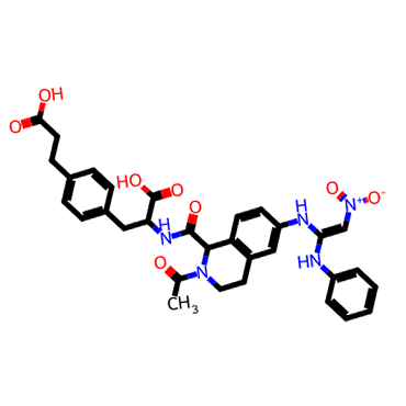 CC(=O)N1CCc2cc(NC(=C[N+](=O)[O-])Nc3ccccc3)ccc2C1C(=O)NC(Cc1ccc(CCC(=O)O)cc1)C(=O)O